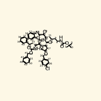 CC(C)(C)OC(=O)NCCCC[C@H](NC(=O)[C@@H]1C[C@@H](OCc2ccc(Cl)cc2)CN1C(=O)[C@@H](CCc1ccccc1)NC(=O)OCc1ccccc1)C(=O)c1nc2ccccc2o1